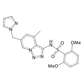 COc1cccc(OC)c1S(=O)(=O)Nc1nnn2cc(Cn3cccn3)cc(C)c12